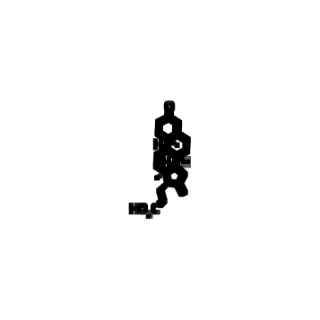 C=C1C[C@H]2[C@@H]3CCC4=CC(=O)CC[C@]4(C)[C@H]3CC[C@]2(C)[C@@H]1CCC(=O)O